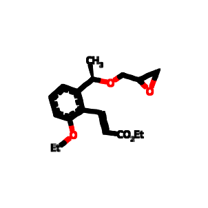 CCOC(=O)/C=C/c1c(OCC)cccc1[C@@H](C)OCC1CO1